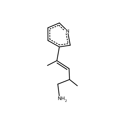 CC(=CC(C)CN)c1cccnc1